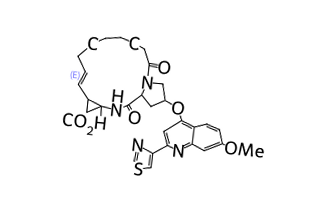 COc1ccc2c(OC3CC4C(=O)NC5(C(=O)O)CC5/C=C/CCCCCCC(=O)N4C3)cc(-c3cscn3)nc2c1